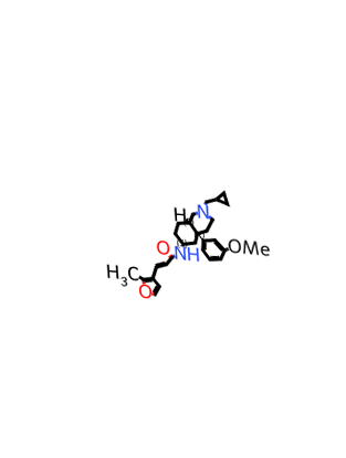 COc1cccc([C@@]23CCN(CC4CC4)C[C@H]2CC[C@H](NC(=O)C=Cc2ccoc2C)C3)c1